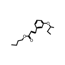 CCCCOC(=O)C=Cc1cccc(OC(C)CC)c1